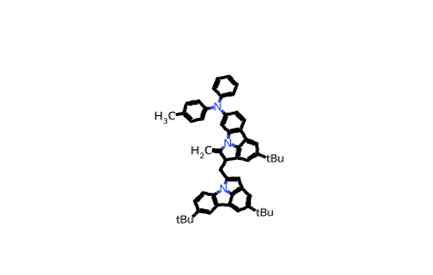 C=C1C(Cc2cc3cc(C(C)(C)C)cc4c5cc(C(C)(C)C)ccc5n2c34)c2cc(C(C)(C)C)cc3c4ccc(N(c5ccccc5)c5ccc(C)cc5)cc4n1c23